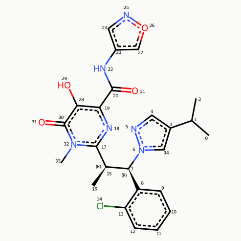 CC(C)c1cnn([C@@H](c2ccccc2Cl)[C@@H](C)c2nc(C(=O)Nc3cnoc3)c(O)c(=O)n2C)c1